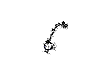 CO[C@H]1C[C@H](C)CC2=C(NCCCNC(=O)CCCN3C(=O)CC(SC[C@H]4CCN5CC[C@H](CO[Si](c6ccccc6)(c6ccccc6)C(C)(C)C)N=C5N4)C3=O)C(=O)C=C(NC(=O)/C(C)=C/C=C\[C@@H](OC)[C@@H](OC(N)=O)/C(C)=C/[C@H](C)[C@H]1O)C2=O